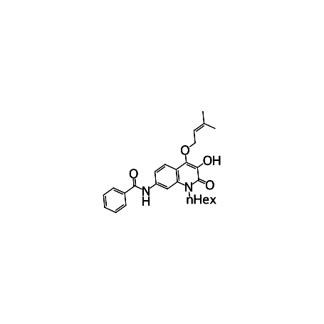 CCCCCCn1c(=O)c(O)c(OCC=C(C)C)c2ccc(NC(=O)c3ccccc3)cc21